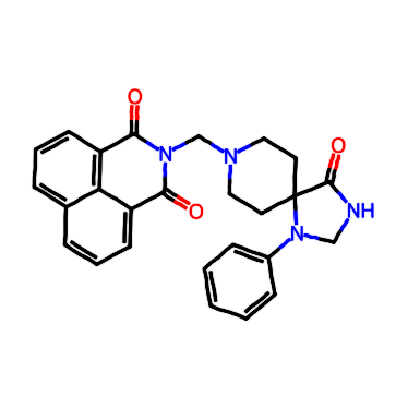 O=C1c2cccc3cccc(c23)C(=O)N1CN1CCC2(CC1)C(=O)NCN2c1ccccc1